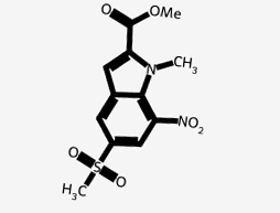 COC(=O)c1cc2cc(S(C)(=O)=O)cc([N+](=O)[O-])c2n1C